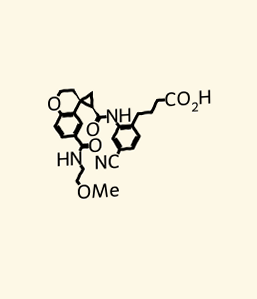 COCCNC(=O)c1ccc2c(c1)[C@]1(CCO2)C[C@H]1C(=O)Nc1cc(C#N)ccc1CCCC(=O)O